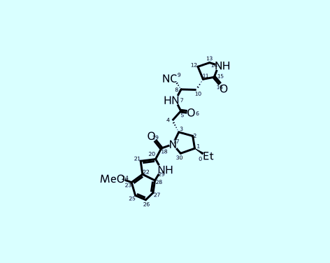 CC[C@@H]1C[C@@H](CC(=O)N[C@H](C#N)C[C@@H]2CCNC2=O)N(C(=O)c2cc3c(OC)cccc3[nH]2)C1